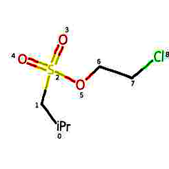 CC(C)CS(=O)(=O)OCCCl